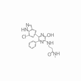 CNC(=O)CCNc1nc(-c2ccccc2)c(-c2cc(Cl)c3[nH]ncc3c2)nc1O